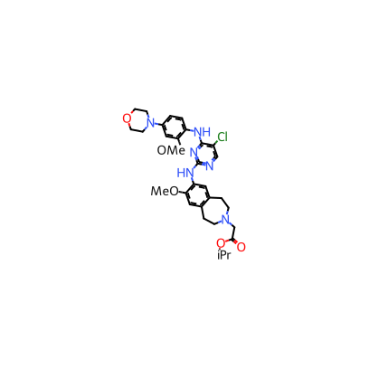 COc1cc2c(cc1Nc1ncc(Cl)c(Nc3ccc(N4CCOCC4)cc3OC)n1)CCN(CC(=O)OC(C)C)CC2